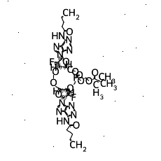 C=CCCC(=O)Nc1ncnc2c1ncn2[C@@H]1O[C@@H]2COCO[C@H]3[C@@H](F)[C@H](n4cnc5c(NC(=O)CCC=C)ncnc54)O[C@@H]3COP(=O)(OCOC(=O)C(C)(C)C)CO[C@H]2[C@H]1F